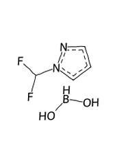 FC(F)n1cccn1.OBO